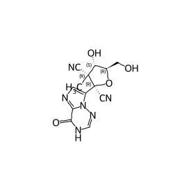 C[C@@]1(C#N)[C@H](O)[C@@H](CO)O[C@@]1(C#N)c1cnc2c(=O)[nH]cnn12